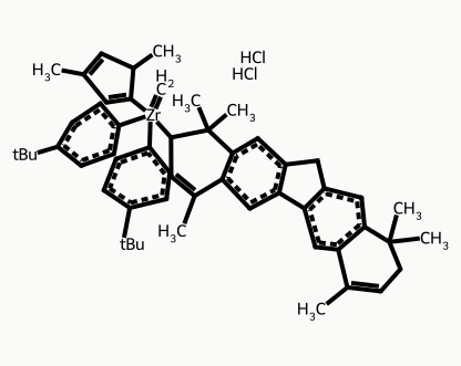 Cl.Cl.[CH2]=[Zr]([C]1=CC(C)=CC1C)([c]1ccc(C(C)(C)C)cc1)([c]1ccc(C(C)(C)C)cc1)[CH]1C=C(C)c2cc3c(cc2C1(C)C)Cc1cc2c(cc1-3)C(C)=CCC2(C)C